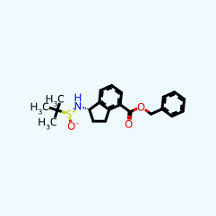 CC(C)(C)[S+]([O-])N[C@H]1CCc2c(C(=O)OCc3ccccc3)cccc21